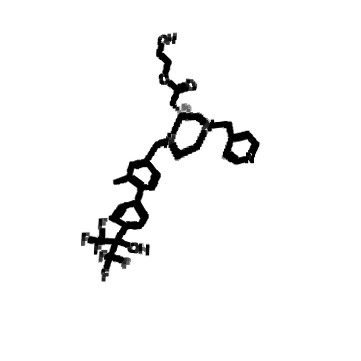 Cc1cc(CN2CCN(Cc3ccncc3)C[C@H]2CC(=O)OCCO)ccc1-c1ccc(C(O)(C(F)(F)F)C(F)(F)F)cc1